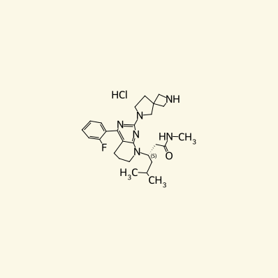 CNC(=O)C[C@H](CC(C)C)N1CCCc2c(-c3ccccc3F)nc(N3CCC4(CNC4)C3)nc21.Cl